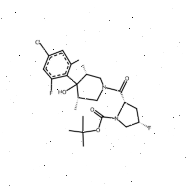 Cc1cc(Cl)cc(F)c1C1(O)[C@H](C)CN(C(=O)[C@@H]2C[C@H](F)CN2C(=O)OC(C)(C)C)C[C@@H]1C